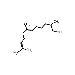 CC(C)=CCCC(C)CCCCC(C)CO